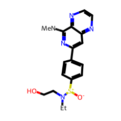 CCN(CCO)[S+]([O-])c1ccc(-c2cc3nccnc3c(NC)n2)cc1